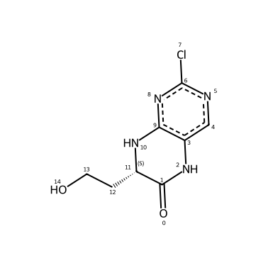 O=C1Nc2cnc(Cl)nc2N[C@H]1CCO